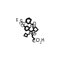 O=C(O)CCC(=O)N(C1CCC1)[C@H]1c2ccc(Cl)cc2N(C(=O)c2cccc(OC(F)(F)F)c2)[C@@H]2CCC[C@@H]21